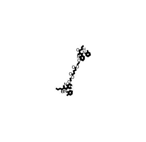 CCCC(=O)c1cnc2c(OCCOC(=O)CCCC(=O)OCCOc3cccc4c(Nc5ccccc5C)c(C(=O)CCC)cnc34)cccc2c1Nc1ccccc1C